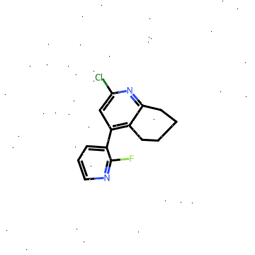 Fc1ncccc1-c1cc(Cl)nc2c1CCCC2